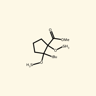 COC(=O)C1(O[SiH3])CCCC1(O[SiH3])C(C)(C)C